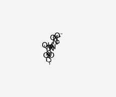 Cc1ccc(S(=O)(=O)OCC(CO)n2cc(Cn3cccc3[N+](=O)[O-])nn2)cc1